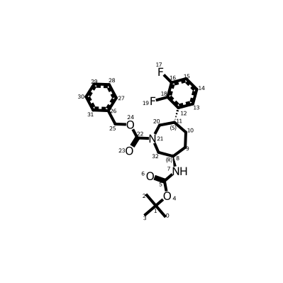 CC(C)(C)OC(=O)N[C@@H]1CC[C@@H](c2cccc(F)c2F)CN(C(=O)OCc2ccccc2)C1